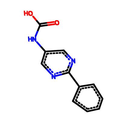 O=C(O)Nc1cnc(-c2ccccc2)nc1